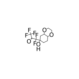 O=C(C(F)(F)F)C(F)(F)C1(O)CCC2OCCOC2C1